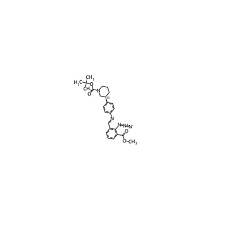 COC(=O)c1cccc(C=Nc2ccc([C@@H]3CCCN(C(=O)OC(C)(C)C)C3)cc2)c1N=[N+]=[N-]